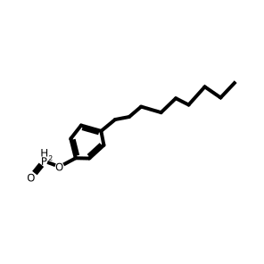 CCCCCCCCCc1ccc(O[PH2]=O)cc1